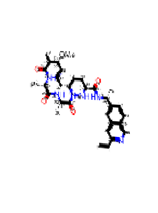 C=Cc1cc2cc([C@@H](C)NC(=O)[C@@H]3CCCN(C(=O)[C@H](C)NC(=O)[C@@H](NC(=O)C(C)[C@@H](/C=C/C)OC)C(C)C)N3)ccc2cn1